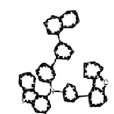 c1cc(-c2cccc(N(c3ccc(-c4cccc5oc6ccccc6c45)cc3)c3cccc4sc5ccccc5c34)c2)cc(-c2cccc3ccccc23)c1